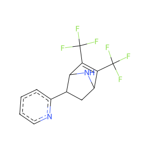 FC(F)(F)C1=C(C(F)(F)F)C2NC1CC2c1ccccn1